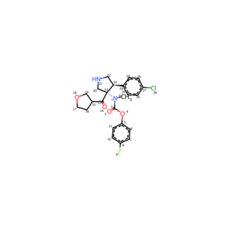 CN(C(=O)Oc1ccc(F)cc1)[C@]1(C(=O)C2CCOC2)CNC[C@H]1c1ccc(Cl)cc1